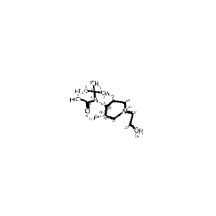 CC(C)(C)N(C(=O)O)[C@@H]1CCN(CCO)C[C@@H]1F